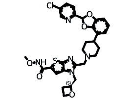 CONC(=O)c1cc2c(nc(CN3CCC(c4cccc5c4OC(c4ccc(Cl)cn4)O5)CC3)n2C[C@@H]2CCO2)s1